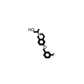 CC(CO)N1CCc2cc(OCc3cccc(F)c3)ccc2C1